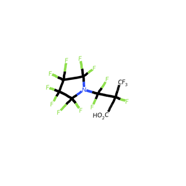 O=C(O)C(F)(C(F)(F)F)C(F)(F)N1C(F)(F)C(F)(F)C(F)(F)C1(F)F